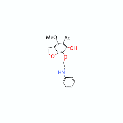 COc1c(C(C)=O)c(O)c(OCCNc2ccccc2)c2occc12